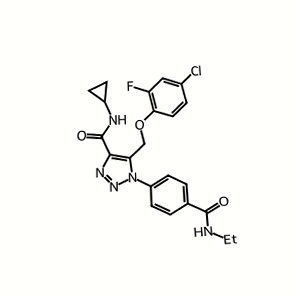 CCNC(=O)c1ccc(-n2nnc(C(=O)NC3CC3)c2COc2ccc(Cl)cc2F)cc1